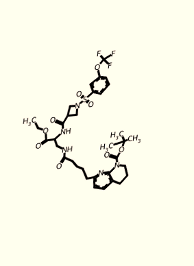 CCOC(=O)C(CNC(=O)CCCCc1ccc2c(n1)N(C(=O)OC(C)(C)C)CCC2)NC(=O)C1CN(S(=O)(=O)c2cccc(OC(F)(F)F)c2)C1